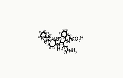 CC(CC(N)=O)C(C(=O)NC1CCCN(S(=O)(=O)c2ccccn2)CC1=O)c1nc(C(=O)O)cc2ccccc12